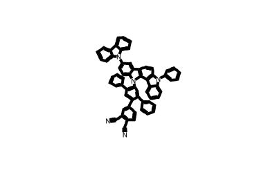 N#Cc1ccc(-c2cc(-c3ccccc3)c(-n3c4ccc(-n5c6ccccc6c6ccccc65)cc4c4ccc5c(c6ccccc6n5-c5ccccc5)c43)cc2-c2ccccc2)cc1C#N